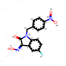 O=C1/C(=N\O)c2cc(F)ccc2N1Cc1ccc([N+](=O)[O-])cc1